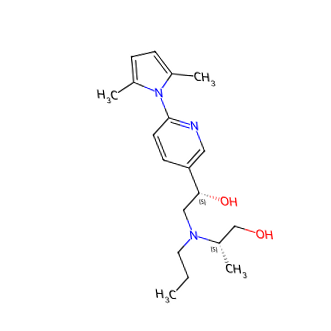 CCCN(C[C@@H](O)c1ccc(-n2c(C)ccc2C)nc1)[C@@H](C)CO